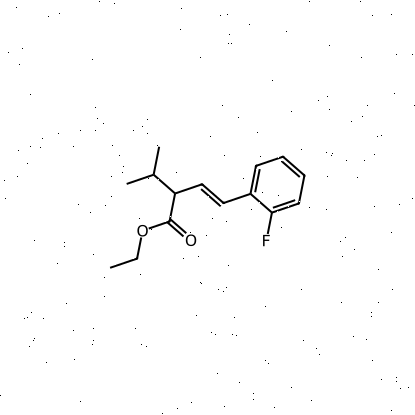 CCOC(=O)C(/C=C/c1ccccc1F)C(C)C